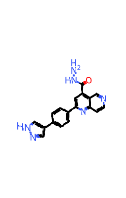 NNC(=O)c1cc(-c2ccc(-c3cn[nH]c3)cc2)nc2ccncc12